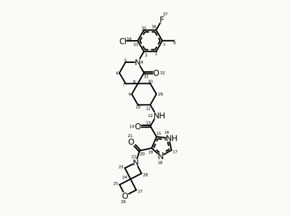 Cc1cc(N2CCCC3(CCC(NC(=O)c4[nH]cnc4C(=O)N4CC5(COC5)C4)CC3)C2=O)c(Cl)cc1F